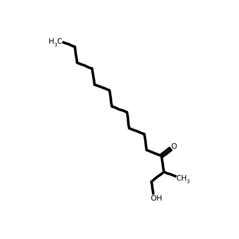 CCCCCCCCCCCC(=O)C(C)CO